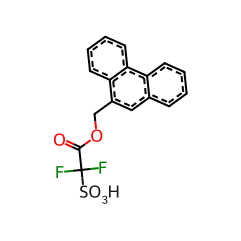 O=C(OCc1cc2ccccc2c2ccccc12)C(F)(F)S(=O)(=O)O